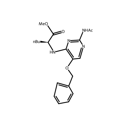 CCCC[C@H](Nc1nc(NC(C)=O)ncc1OCc1ccccc1)C(=O)OC